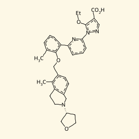 CCOc1c(C(=O)O)cnn1-c1cccc(-c2cccc(C)c2OCc2ccc3c(c2C)CCN([C@@H]2CCOC2)C3)n1